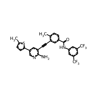 Cc1ccc(-c2cnc(N)c(C#Cc3cc(C(=O)Nc4cc(C(F)(F)F)cc(C(F)(F)F)c4)ccc3C)c2)s1